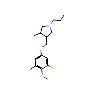 CCCN1CC(C)C(COc2cc(C)c(NC)c(F)c2)C1